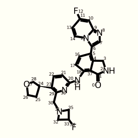 O=C1NCc2c(-c3cnc4cc(F)ccn34)ccc(Nc3ccc([C@H]4CCOC4)c(CN4CC(F)C4)n3)c21